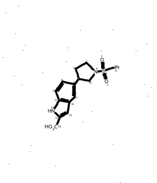 CC(C)S(=O)(=O)N1CCC(c2ccc3[nH]c(C(=O)O)cc3c2)C1